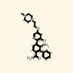 CN1CCN(CCOc2cnc(-c3ccc(C(N)=O)c(-c4ccccc4)c3N)c(Cl)c2)CC1